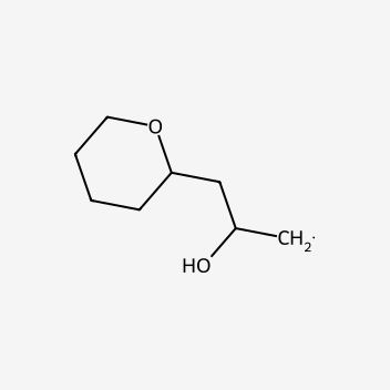 [CH2]C(O)CC1CCCCO1